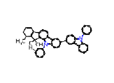 CC1CC=CC2=C1C(C)(C)c1c2ccc2c3cc(-c4ccc5c(c4)c4ccccc4n5-c4ccccc4)ccc3n(-c3ccccc3)c12